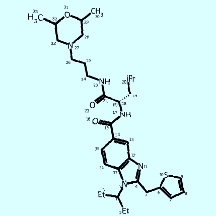 CCC(CC)n1c(Cc2cccs2)nc2cc(C(=O)N[C@@H](CC(C)C)C(=O)NCCCN3CC(C)OC(C)C3)ccc21